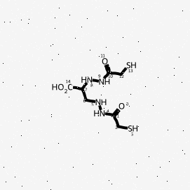 O=C(CS)NNCC(NNC(=O)CS)C(=O)O